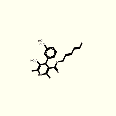 CC=CC=CCOC(=O)C1=C(C)NC(C)=C(C(=O)O)C1c1cccc([N+](=O)[O-])c1.Cl